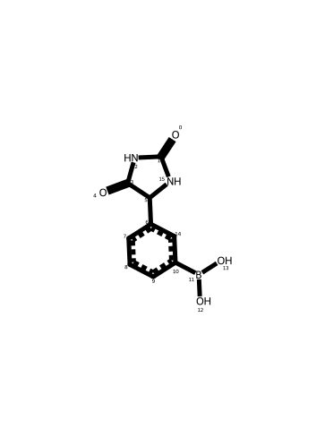 O=C1NC(=O)C(c2cccc(B(O)O)c2)N1